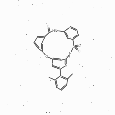 Cc1cccc(C)c1-c1cc2cc(n1)NS(=O)(=O)c1cccc(c1)NC(=O)c1cccc(c1)O2